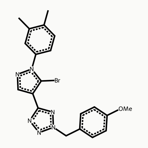 COc1ccc(Cn2nnc(-c3cnn(-c4ccc(C)c(C)c4)c3Br)n2)cc1